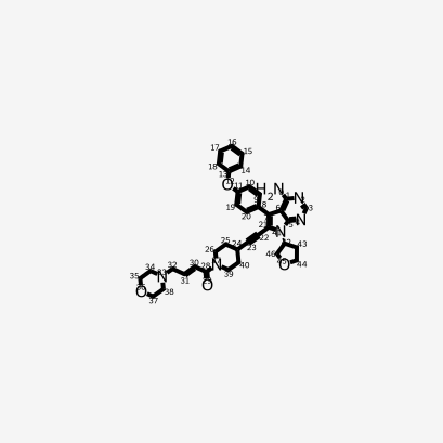 Nc1ncnc2c1c(-c1ccc(Oc3ccccc3)cc1)c(C#CC1CCN(C(=O)/C=C/CN3CCOCC3)CC1)n2[C@@H]1CCOC1